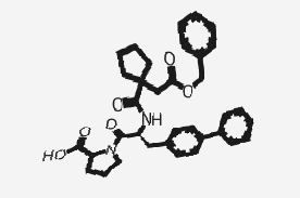 O=C(CC1(C(=O)N[C@@H](Cc2ccc(-c3ccccc3)cc2)C(=O)N2CCCC2C(=O)O)CCCC1)OCc1ccccc1